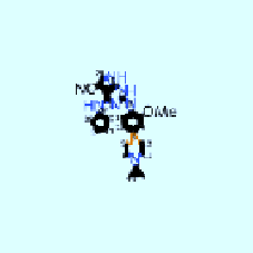 COc1cc(P2CCN(C3CC3)CC2)ccc1Nc1nc(NC2CCCC2)c2c(C#N)c[nH]c2n1